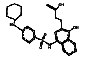 C=C(O)CSc1cc(NS(=O)(=O)c2ccc(NC3CCCCC3)cc2)c2ccccc2c1O